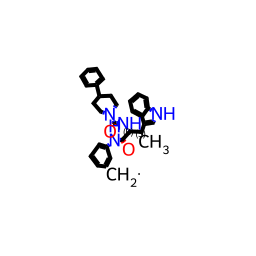 [CH2]c1cccc(NC(=O)[C@H](NC(=O)N2CCC(c3ccccc3)CC2)[C@@H](C)c2c[nH]c3ccccc23)c1